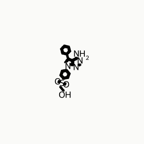 Nc1ncnc2c1c(-c1ccccc1)cn2-c1ccc(S(=O)(=O)CCO)cc1